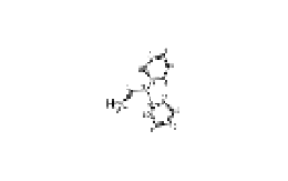 C=CC(c1ccccc1)c1ccccc1